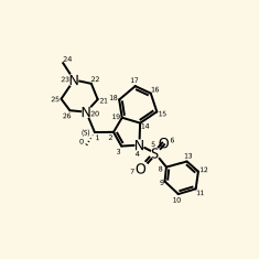 C[C@@H](c1cn(S(=O)(=O)c2ccccc2)c2ccccc12)N1CCN(C)CC1